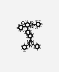 c1ccc(-c2nc(-c3ccccc3)nc(-c3ccc4cc(-c5c6nc(-c7ccccc7)oc6cc6oc7ccccc7c56)ccc4c3)n2)cc1